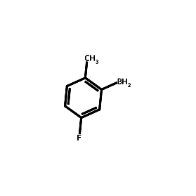 Bc1cc(F)ccc1C